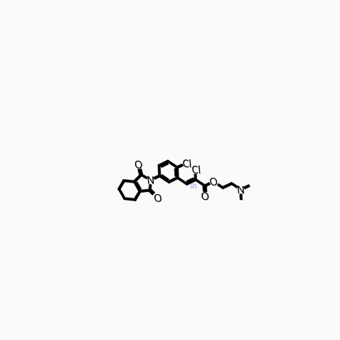 CN(C)CCOC(=O)/C(Cl)=C/c1cc(N2C(=O)C3=C(CCCC3)C2=O)ccc1Cl